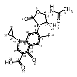 CC(=O)N[C@H]1OC(=O)N(c2cc3c(cc2F)c(=O)c(C(=O)O)cn3C2CC2)C1C